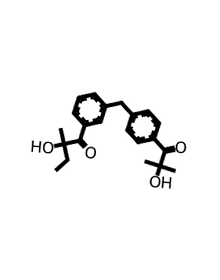 CCC(C)(O)C(=O)c1cccc(Cc2ccc(C(=O)C(C)(C)O)cc2)c1